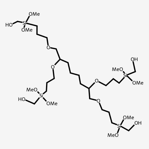 CO[Si](CO)(CCCOCC(CCCCC(COCCC[Si](CO)(OC)OC)OCCC[Si](CO)(OC)OC)OCCC[Si](CO)(OC)OC)OC